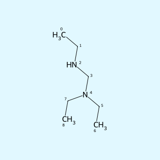 CCNCN(CC)CC